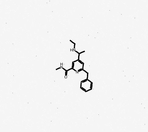 CCNC(C)c1cc(Cc2ccccc2)nc(C(=O)NC)c1